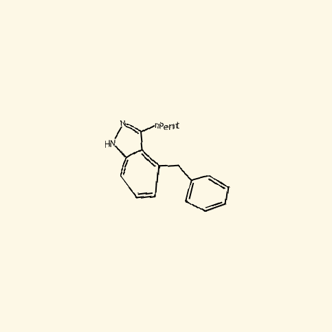 CCCCCc1n[nH]c2cccc(Cc3ccccc3)c12